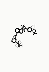 CCc1c(CCN2CCC[C@H](C(=O)O)C2)cccc1-c1nsc(-c2ccc(OC(C)C)c(Cl)c2)n1